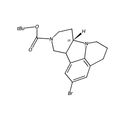 CC(C)(C)OC(=O)N1CC[C@H]2C(C1)c1cc(Br)cc3c1N2CCC3